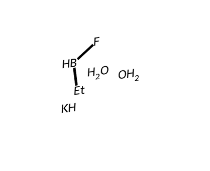 CCBF.O.O.[KH]